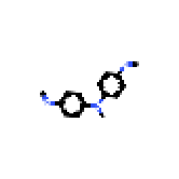 C=Nc1ccc(N(C)c2ccc(N=C)cc2)cc1